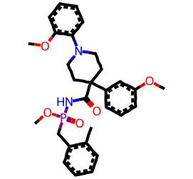 COc1cccc(C2(C(=O)NP(=O)(Cc3ccccc3C)OC)CCN(c3ccccc3OC)CC2)c1